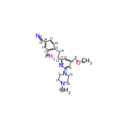 BN1CCN(c2cc(COC)cc(CCc3ccc(C#N)cc3P)n2)CC1